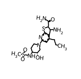 CCCc1cc(N2CCC(NS(C)(=O)=O)[C@@H](O)C2)nc2c1C(N)C(C(N)=O)S2